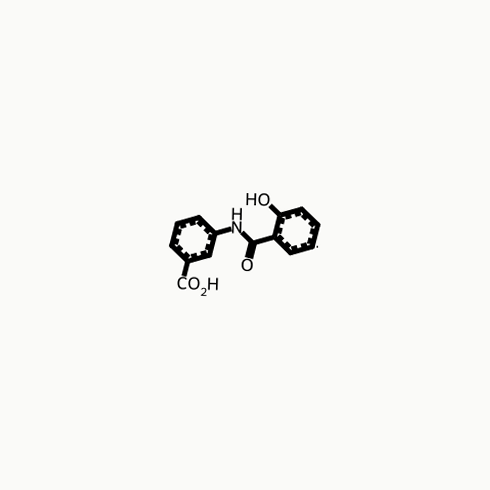 O=C(O)c1cccc(NC(=O)c2c[c]ccc2O)c1